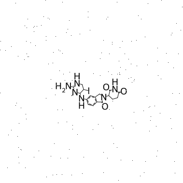 CN1C(N)NCC(I)C1Nc1ccc2c(c1)CN(C1CCC(=O)NC1=O)C2=O